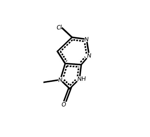 Cn1c(=O)[nH]c2nnc(Cl)cc21